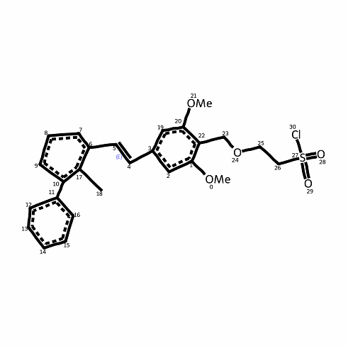 COc1cc(/C=C/c2cccc(-c3ccccc3)c2C)cc(OC)c1COCCS(=O)(=O)Cl